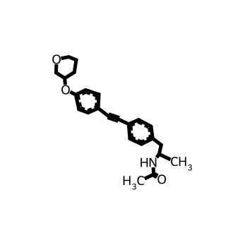 CC(=O)NC(C)Cc1ccc(C#Cc2ccc(OC3CCCOC3)cc2)cc1